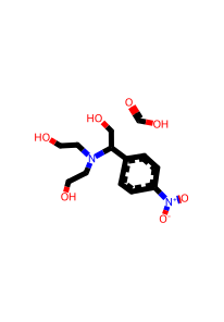 O=CO.O=[N+]([O-])c1ccc(C(CO)N(CCO)CCO)cc1